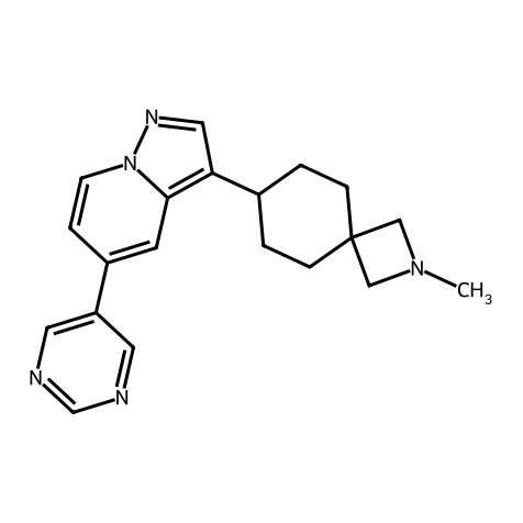 CN1CC2(CCC(c3cnn4ccc(-c5cncnc5)cc34)CC2)C1